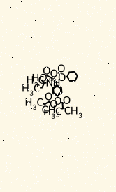 CCC(C)N[C@@](Cc1ccc(OC(=O)C(C)C)c(OC(=O)C(C)C)c1)(OC(=O)OC1CCCCC1)C(=O)O